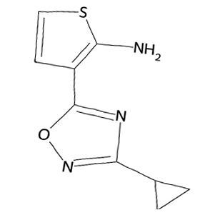 Nc1sccc1-c1nc(C2CC2)no1